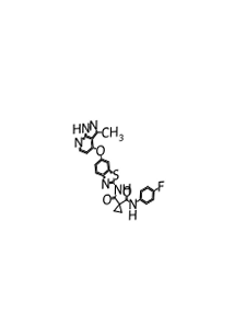 Cc1n[nH]c2nccc(Oc3ccc4nc(NC(=O)C5(C(=O)Nc6ccc(F)cc6)CC5)sc4c3)c12